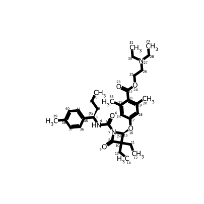 CCC[C@@H](NC(=O)N1C(=O)C(CC)(CC)[C@@H]1Oc1cc(C)c(C(=O)OCCN(CC)CC)c(C)c1)c1ccc(C)cc1